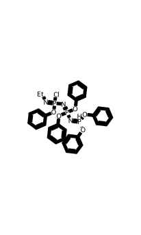 CCN=P(Cl)(N=P(N=[PH](Oc1ccccc1)Oc1ccccc1)(Oc1ccccc1)Oc1ccccc1)Oc1ccccc1